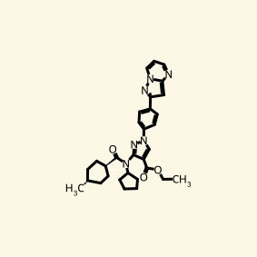 CCOC(=O)c1cn(-c2ccc(-c3cc4ncccn4n3)cc2)nc1N(C(=O)[C@H]1CC[C@H](C)CC1)C1CCCC1